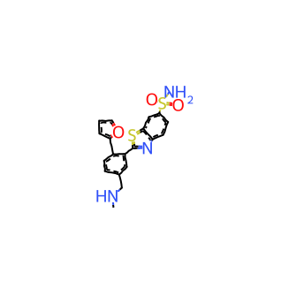 CNCc1ccc(-c2ccco2)c(-c2nc3ccc(S(N)(=O)=O)cc3s2)c1